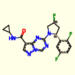 O=C(NC1CC1)c1cnn2cnc(N3C[C@@H](F)C[C@@H]3c3cc(F)ccc3F)nc12